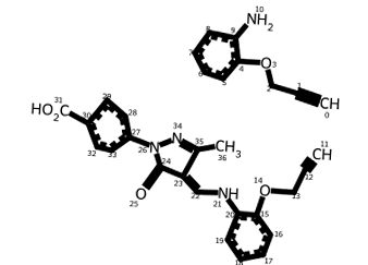 C#CCOc1ccccc1N.C#CCOc1ccccc1NC=C1C(=O)N(c2ccc(C(=O)O)cc2)N=C1C